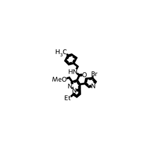 CCc1ccc2c(-c3cncc(Br)c3)c(C(=O)NCc3ccc(C)cc3)c(COC)nn12